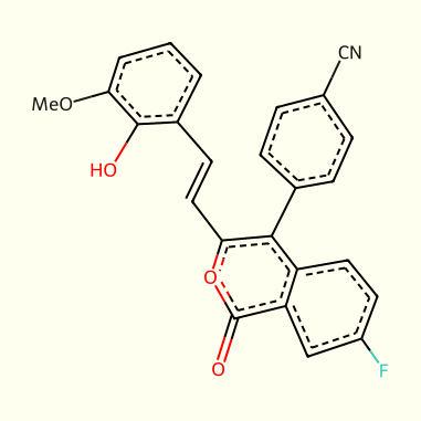 COc1cccc(C=Cc2oc(=O)c3cc(F)ccc3c2-c2ccc(C#N)cc2)c1O